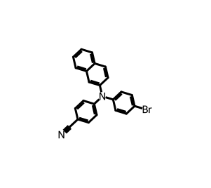 N#Cc1ccc(N(c2ccc(Br)cc2)c2ccc3ccccc3c2)cc1